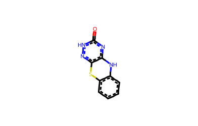 O=c1nc2c(n[nH]1)Sc1ccccc1N2